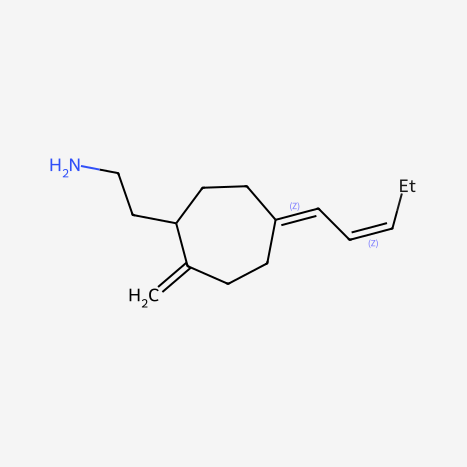 C=C1CC/C(=C\C=C/CC)CCC1CCN